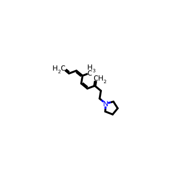 C=C/C=C(C)\C=C/C(=C)CCN1CCCC1